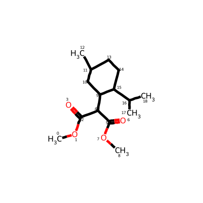 COC(=O)C(C(=O)OC)C1CC(C)CCC1C(C)C